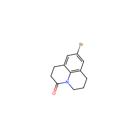 O=C1CCc2cc(Br)cc3c2N1CCC3